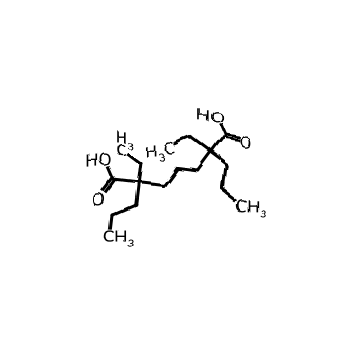 CCCC(CC)(CCCC(CC)(CCC)C(=O)O)C(=O)O